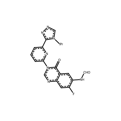 CC(C)n1cnnc1-c1cccc(-n2cnc3cc(F)c(NC=O)cc3c2=O)n1